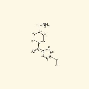 [CH2]Cc1ccc(C(=O)C2CCC(CN)CC2)cc1